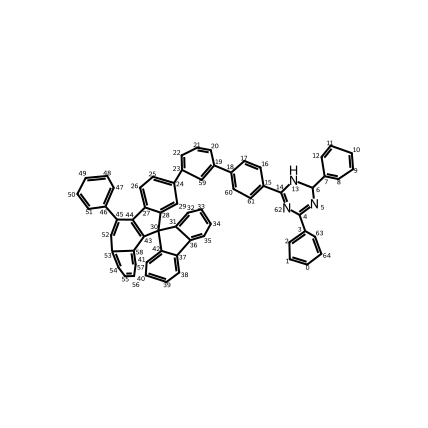 c1ccc(C2=NC(c3ccccc3)NC(c3ccc(-c4cccc(-c5ccc6c(c5)C5(c7ccccc7-c7ccccc75)c5c-6c(-c6ccccc6)cc6ccccc56)c4)cc3)=N2)cc1